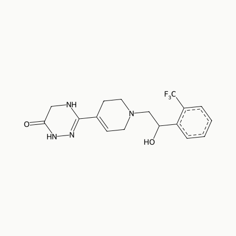 O=C1CNC(C2=CCN(CC(O)c3ccccc3C(F)(F)F)CC2)=NN1